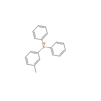 Cc1cccc([SH](c2ccccc2)c2ccccc2)c1